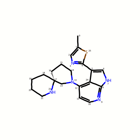 Cc1cnc(-c2c[nH]c3nccc(N4CCC[C@]5(CCCCN5)C4)c23)s1